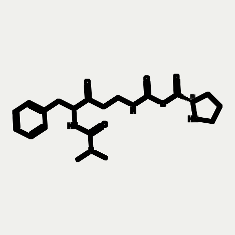 CN(C)C(=O)NC(Cc1ccccc1)C(=O)CCNC(=O)OC(=O)[C@@H]1CCCN1